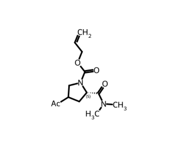 C=CCOC(=O)N1CC(C(C)=O)C[C@H]1C(=O)N(C)C